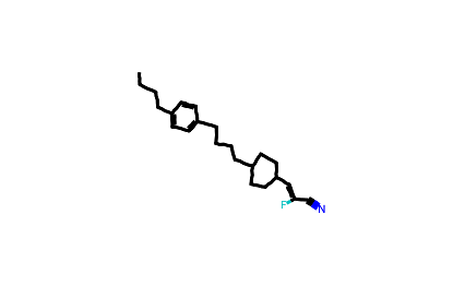 CCCCc1ccc(CCCCC2CCC(C=C(F)C#N)CC2)cc1